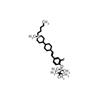 CCCCC[Si]1(C)CCC(C2CCC(C=Cc3ccc(O[Si](C)(C)C(C)(C)C)c(F)c3)CC2)CC1